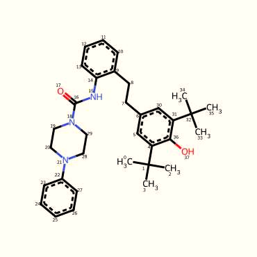 CC(C)(C)c1cc(CCc2ccccc2NC(=O)N2CCN(c3ccccc3)CC2)cc(C(C)(C)C)c1O